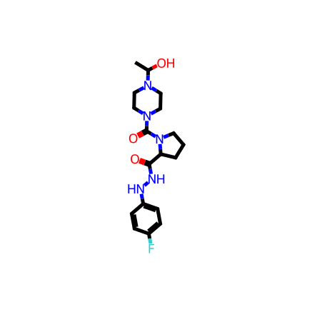 CC(O)N1CCN(C(=O)N2CCCC2C(=O)NNc2ccc(F)cc2)CC1